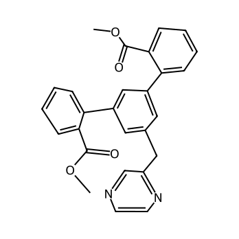 COC(=O)c1ccccc1-c1cc(Cc2cnccn2)cc(-c2ccccc2C(=O)OC)c1